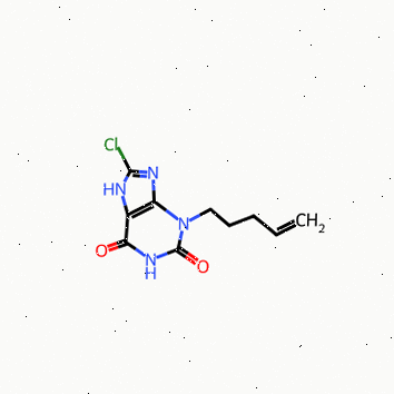 C=CCCCn1c(=O)[nH]c(=O)c2[nH]c(Cl)nc21